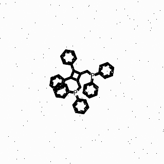 c1ccc(C2C(CP(c3ccccc3)c3ccccc3)C(CP(c3ccccc3)c3ccccc3)C2c2ccccc2)cc1